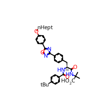 CCCCCCCOc1ccc(-c2nc(-c3ccc(C[C@H](NC(=O)c4ccc(C(C)(C)C)cc4)C(=O)NC(C)(C)C(=O)O)cc3)no2)cc1